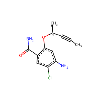 CC#C[C@H](C)Oc1cc(N)c(Cl)cc1C(N)=O